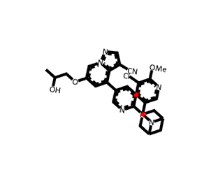 COc1ncc(CN2C3CC2CN(c2ccc(-c4cc(OCC(C)O)cn5ncc(C#N)c45)cn2)C3)cc1Cl